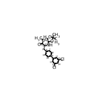 COC(=O)[C@H](Cc1ccc(-c2cc(Cl)cc(Cl)c2)cc1)NC(=O)OC(C)(C)C